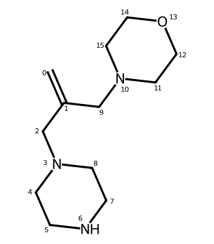 C=C(CN1CCNCC1)CN1CCOCC1